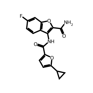 NC(=O)c1oc2cc(F)ccc2c1NC(=O)c1ccc(C2CC2)o1